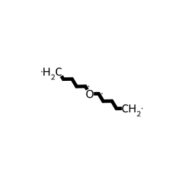 [CH2]CCC[CH]O[CH]CCC[CH2]